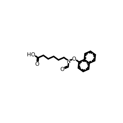 O=CN(CCCCCC(=O)O)Oc1cccc2ccccc12